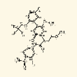 COCCC(C(=O)Nc1ccc(C(N)=O)c(F)c1)n1cc(OC)c(-c2cc(Cl)ccc2OCC(F)(F)F)cc1=O